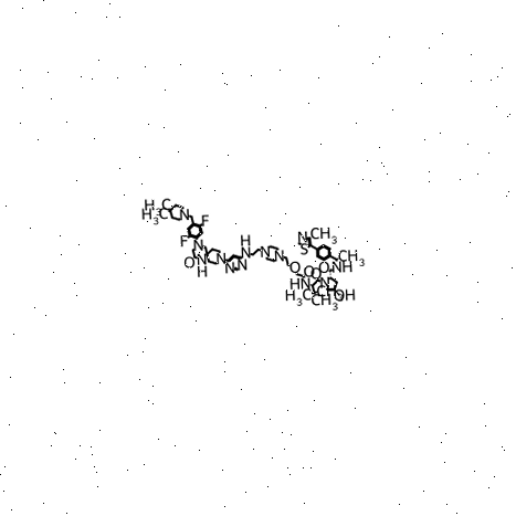 Cc1ncsc1-c1ccc([C@H](C)NC(=O)[C@@H]2C[C@@H](O)CN2C(=O)[C@@H](NC(=O)COCCN2CCN(CCNc3cc(N4CCC5(CC4)CN(c4cc(F)c(CN6CCC(C)(C)CC6)cc4F)CC(=O)N5)ncn3)CC2)C(C)(C)C)cc1